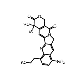 CCC1(O)C(=O)OCc2c1cc1n(c2=O)Cc2cc3c(N)ccc(CCC(C)=O)c3nc2-1